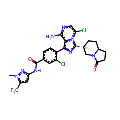 Cn1nc(NC(=O)c2ccc(-c3nc([C@@H]4CCC5CCC(=O)N5C4)n4c(Cl)cnc(N)c34)c(Cl)c2)cc1C(F)(F)F